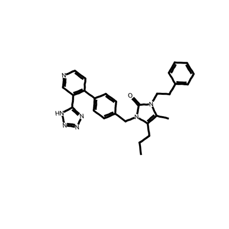 CCCc1c(C)n(CCc2ccccc2)c(=O)n1Cc1ccc(-c2ccncc2-c2nnn[nH]2)cc1